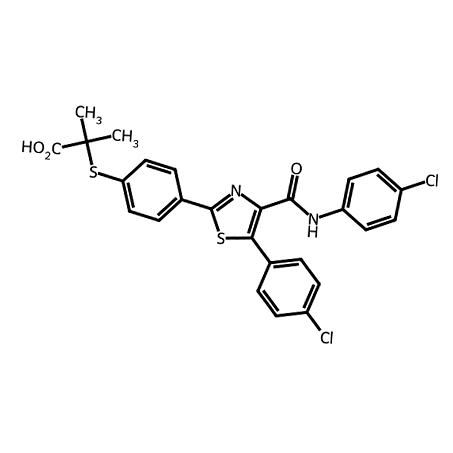 CC(C)(Sc1ccc(-c2nc(C(=O)Nc3ccc(Cl)cc3)c(-c3ccc(Cl)cc3)s2)cc1)C(=O)O